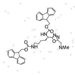 CNCc1nnc([C@@H](CCCCNC(=O)OCC2c3ccccc3-c3ccccc32)NC(=O)OCC2c3ccccc3-c3ccccc32)o1